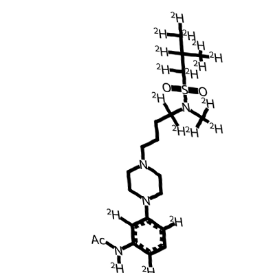 [2H]c1cc([2H])c(N([2H])C(C)=O)c([2H])c1N1CCN(CCCC([2H])([2H])N(C([2H])([2H])[2H])S(=O)(=O)C([2H])([2H])C([2H])(C([2H])([2H])[2H])C([2H])([2H])[2H])CC1